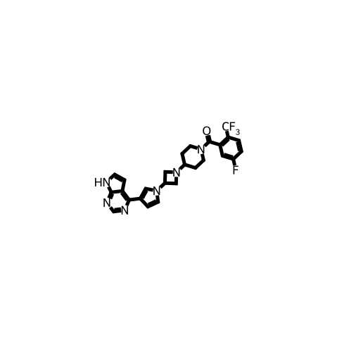 O=C(c1cc(F)ccc1C(F)(F)F)N1CCC(N2CC(n3ccc(-c4ncnc5[nH]ccc45)c3)C2)CC1